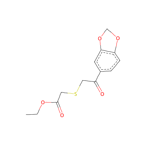 CCOC(=O)CSCC(=O)c1ccc2c(c1)OCO2